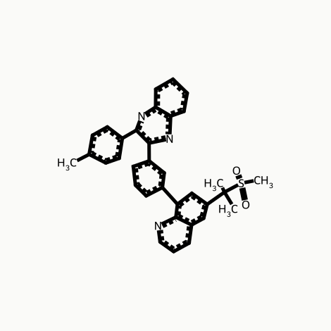 Cc1ccc(-c2nc3ccccc3nc2-c2cccc(-c3cc(C(C)(C)S(C)(=O)=O)cc4cccnc34)c2)cc1